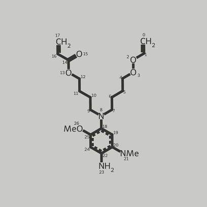 C=COOCCCCN(CCCCOC(=O)C=C)c1cc(NC)c(N)cc1OC